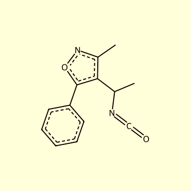 Cc1noc(-c2ccccc2)c1C(C)N=C=O